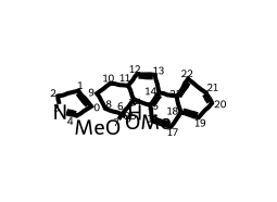 C1=CCN=C1.COC1(OC)CCCC2C=Cc3c(ccc4ccccc34)[C@H]21